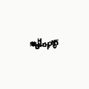 CC[C@H]1CN(c2ccc(-c3ccc(CNC(=O)Cn4ccnn4)cc3)c(F)c2)C(=O)O1